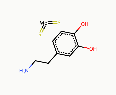 NCCc1ccc(O)c(O)c1.[S]=[Mo]=[S]